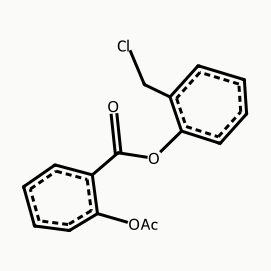 CC(=O)Oc1ccccc1C(=O)Oc1ccccc1CCl